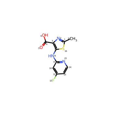 Cc1nc(C(=O)O)c(Nc2cc(F)ccn2)s1